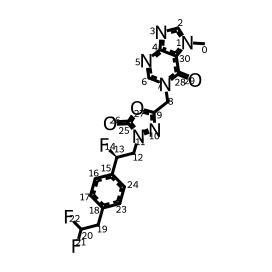 Cn1cnc2ncn(Cc3nn(C[C@H](F)c4ccc(CC(F)F)cc4)c(=O)o3)c(=O)c21